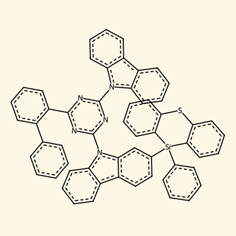 c1ccc(-c2ccccc2-c2nc(-n3c4ccccc4c4ccccc43)nc(-n3c4ccccc4c4ccc([Si]5(c6ccccc6)c6ccccc6Sc6ccccc65)cc43)n2)cc1